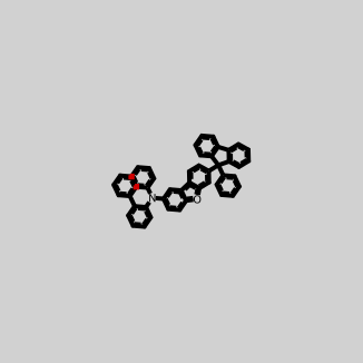 c1ccc(-c2ccccc2N(c2ccccc2)c2ccc3oc4cc(C5(c6ccccc6)c6ccccc6-c6ccccc65)ccc4c3c2)cc1